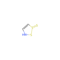 S=S1C=CNS1